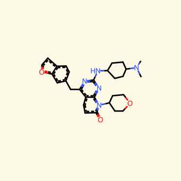 CN(C)C1CCC(Nc2nc(Cc3ccc4ccoc4c3)c3ccc(=O)n(C4CCOCC4)c3n2)CC1